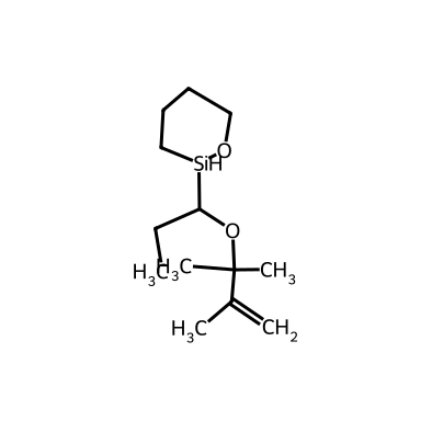 C=C(C)C(C)(C)OC(CC)[SiH]1CCCCO1